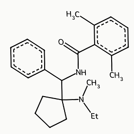 CCN(C)C1(C(NC(=O)c2c(C)cccc2C)c2ccccc2)CCCC1